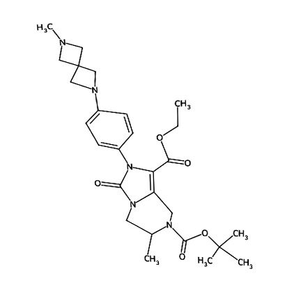 CCOC(=O)c1c2n(c(=O)n1-c1ccc(N3CC4(CN(C)C4)C3)cc1)CC(C)N(C(=O)OC(C)(C)C)C2